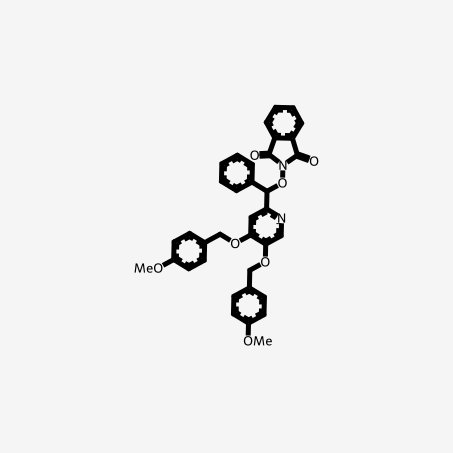 COc1ccc(COc2cnc(C(ON3C(=O)c4ccccc4C3=O)c3ccccc3)cc2OCc2ccc(OC)cc2)cc1